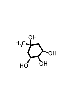 C[C@@]1(O)C[C@@H](O)[C@@H](O)[C@@H](O)C1